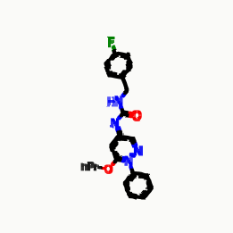 CCCOc1cc(=NC(=O)NCc2ccc(F)cc2)cnn1-c1ccccc1